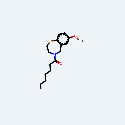 COc1ccc2c(c1)CN(C(=O)CCCCCI)CCS2